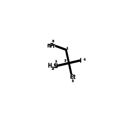 CCCCC([SiH3])(I)CC